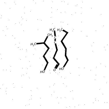 CC(C)CCCO.CCCCCC=O.CCCCCCO